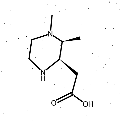 C[C@H]1[C@@H](CC(=O)O)NCCN1C